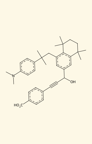 CN(C)c1ccc(C(C)(C)Cc2cc(C(O)C#Cc3ccc(C(=O)O)cc3)cc3c2C(C)(C)CCC3(C)C)cc1